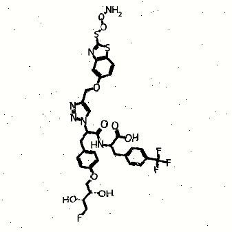 NOOSc1nc2cc(OCc3cn(C(Cc4ccc(OC[C@H](O)[C@@H](O)CF)cc4)C(=O)NC(Cc4ccc(C(F)(F)F)cc4)C(=O)O)nn3)ccc2s1